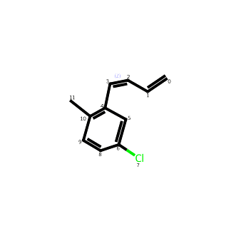 C=C/C=C\c1cc(Cl)ccc1C